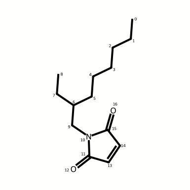 CCCCCCC(CC)CN1C(=O)C=CC1=O